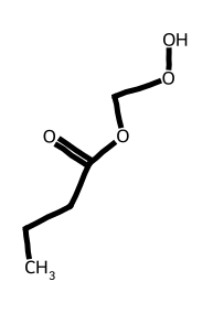 CCCC(=O)OCOO